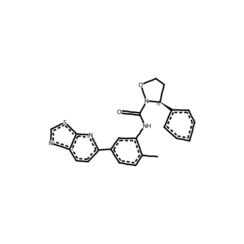 Cc1ccc(-c2ccc3ncsc3n2)cc1NC(=O)N1OCC[C@H]1c1ccccc1